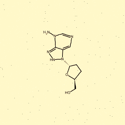 NN1C=NC=C2C1=NNN2[C@@H]1CC[C@@H](CO)O1